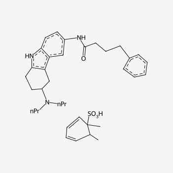 CC1C=CC=CC1(C)S(=O)(=O)O.CCCN(CCC)C1CCc2[nH]c3ccc(NC(=O)CCCc4ccccc4)cc3c2C1